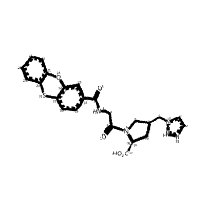 O=C(NCC(=O)N1CC(Cn2ccnn2)C[C@H]1C(=O)O)c1ccc2c(c1)Oc1ccccc1S2